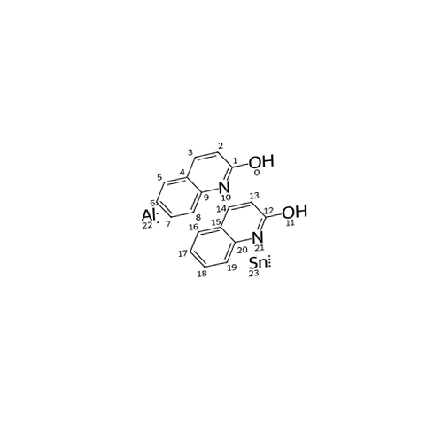 Oc1ccc2ccccc2n1.Oc1ccc2ccccc2n1.[Al].[Sn]